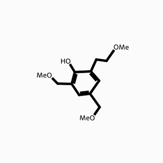 COCCc1cc(COC)cc(COC)c1O